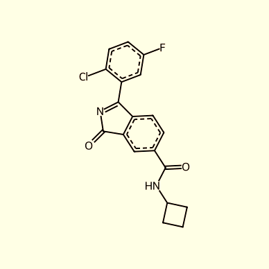 O=C(NC1CCC1)c1ccc2c(c1)C(=O)N=C2c1cc(F)ccc1Cl